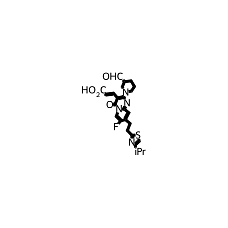 CC(C)c1csc(CCc2cc3nc(N4CCCC(C=O)C4)c(C=CC(=O)O)c(=O)n3cc2F)n1